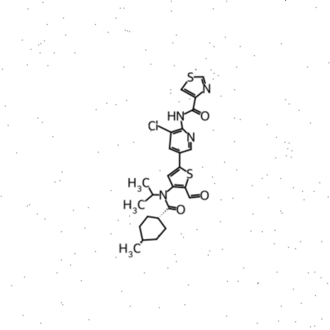 CC(C)N(c1cc(-c2cnc(NC(=O)c3cscn3)c(Cl)c2)sc1C=O)C(=O)[C@H]1CC[C@H](C)CC1